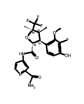 COc1c([C@H]2[C@H](C(=O)Nc3ccnc(C(N)=O)c3)O[C@@](C)(C(F)(F)F)[C@H]2C)ccc(O)c1F